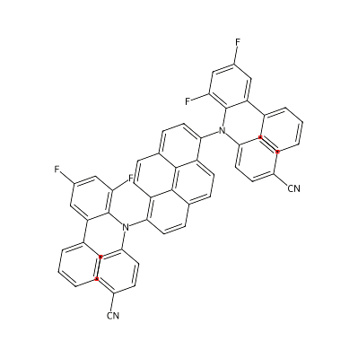 N#Cc1ccc(N(c2c(F)cc(F)cc2-c2ccccc2)c2ccc3ccc4c(N(c5ccc(C#N)cc5)c5c(F)cc(F)cc5-c5ccccc5)ccc5ccc2c3c54)cc1